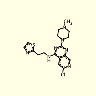 CN1CCN(c2nc(NCCc3nccs3)c3cc(Cl)ncc3n2)CC1